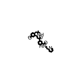 COc1ccc2c(c1)/C(=C/C(=O)c1cccc(C(=O)NCCc3ccccn3)c1)NC(C)(C)C2